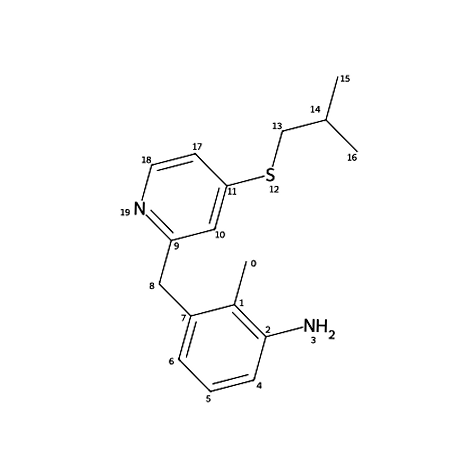 Cc1c(N)cccc1Cc1cc(SCC(C)C)ccn1